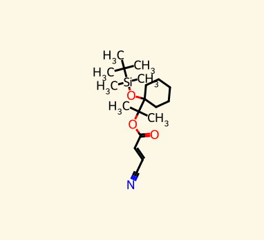 CC(C)(OC(=O)C=CC#N)C1(O[Si](C)(C)C(C)(C)C)CCCCC1